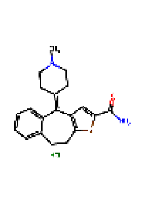 CN1CCC(=C2c3ccccc3CCc3sc(C(N)=O)cc32)CC1.Cl